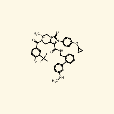 CNc1cccc(-c2ccccc2CNC(=O)c2c3n(c(=O)n2-c2ccc(OC4CC4)cc2)C[C@@H](C)N(C(=O)c2ccc(Br)c(C(F)(F)F)c2)C3)n1